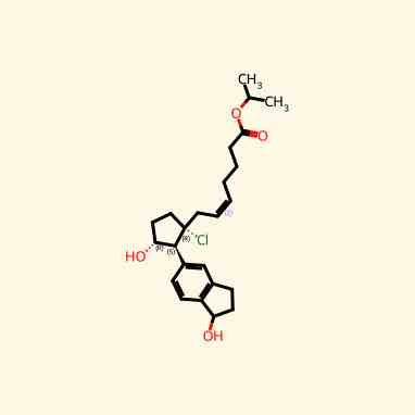 CC(C)OC(=O)CCC/C=C\C[C@]1(Cl)CC[C@@H](O)[C@@H]1c1ccc2c(c1)CCC2O